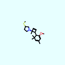 COC1=CC(C)=CC(C)(C)C1C1C=CC1(C)N1CCC(SC)C1